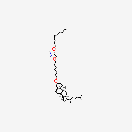 CCCCC/C=C\CCCOC[C@H](COCCCCCCCOC1CC[C@@]2(C)C(=CC[C@H]3[C@@H]4CC[C@H]([C@H](C)CCCC(C)C)[C@@]4(C)CC[C@@H]32)C1)N(C)C